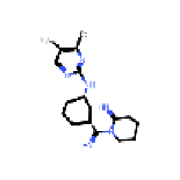 CCc1nc(N[C@@H]2CCC[C@H](C(=N)N3CCCCC3=N)C2)ncc1C(F)(F)F